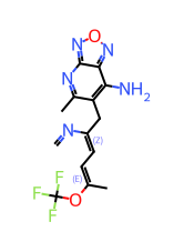 C=N/C(=C\C=C(/C)OC(F)(F)F)Cc1c(C)nc2nonc2c1N